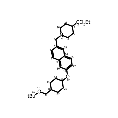 CCOC(=O)C1CCN(Cc2ccc3cc(OC4CCC(COC(C)(C)C)CC4)ccc3c2)CC1